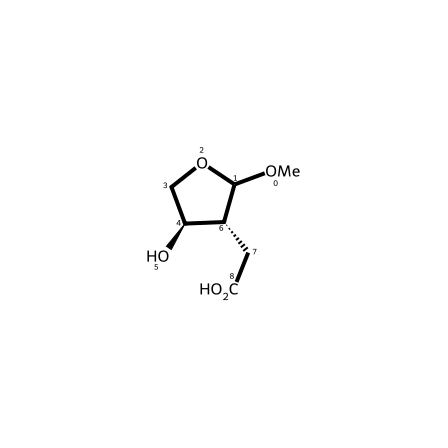 COC1OC[C@H](O)[C@H]1CC(=O)O